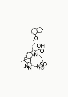 CCc1c2c(nn1C)CN(C)S(=O)(=O)CCCn1c(C(=O)O)c(CCCOc3cccc4c3CCC4)c3ccc(F)c-2c31